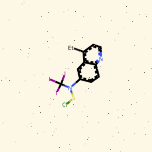 CCc1ccnc2ccc(N(SCl)C(I)(I)I)cc12